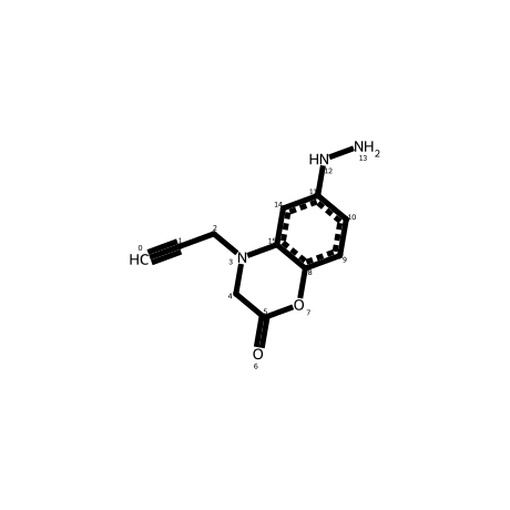 C#CCN1CC(=O)Oc2ccc(NN)cc21